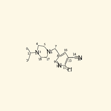 CC(C)N1CCN(Cc2cnc(Cl)c(C#N)c2)CC1